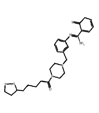 NC(=Nc1cccc(CN2CCN(C(=O)CCCCC3CCSS3)CC2)c1)C1=CC=CCC1=S